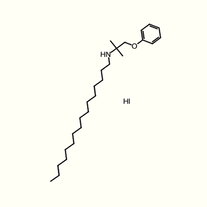 CCCCCCCCCCCCCCCCNC(C)(C)COc1ccccc1.I